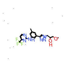 COCC(O)Cn1cc(-c2cc(C)cc(Nc3nccc(C(F)(F)F)n3)c2)nn1